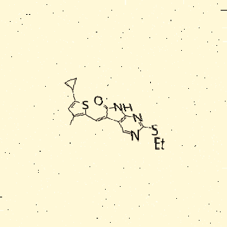 CCSc1ncc2c(n1)NC(=O)C2=Cc1sc(C2CC2)cc1C